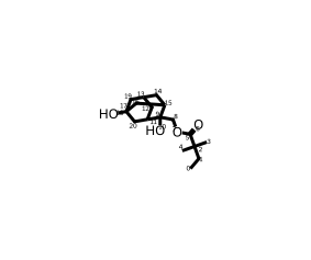 CCC(C)(C)C(=O)OCC1(O)C2CC3CC1CC(O)(C3)C2